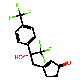 O=C1C=C(C[C@@](O)(c2ccc(C(F)(F)F)cc2)C(F)(F)F)CC1